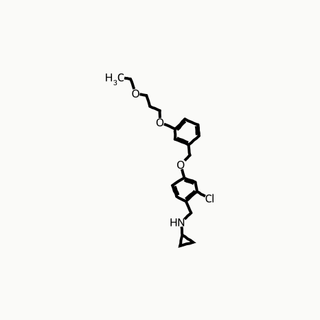 CCOCCCOc1cccc(COc2ccc(CNC3CC3)c(Cl)c2)c1